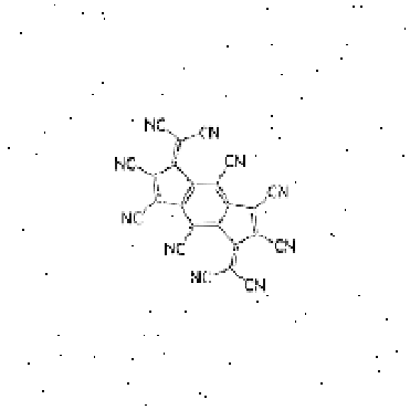 N#CC(C#N)=C1C(C#N)=C(C#N)c2c(C#N)c3c(c(C#N)c21)C(C#N)=C(C#N)C3=C(C#N)C#N